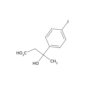 CC(O)(CC(=O)O)c1ccc(I)cc1